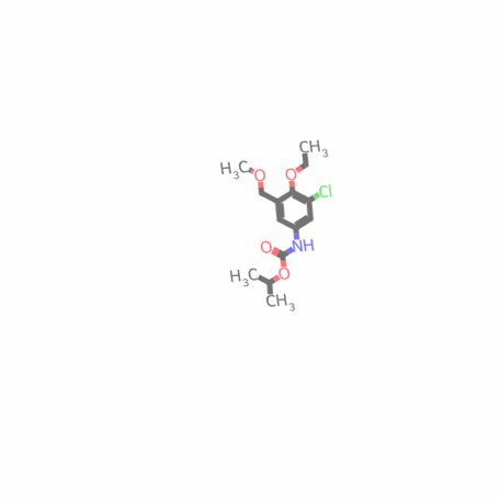 CCOc1c(Cl)cc(NC(=O)OC(C)C)cc1COC